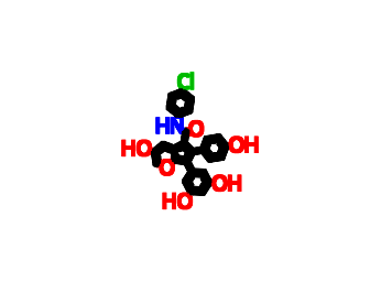 O=C(Nc1ccc(Cl)cc1)c1c2cc(O)coc-2c(-c2cc(O)cc(O)c2)c1-c1ccc(O)cc1